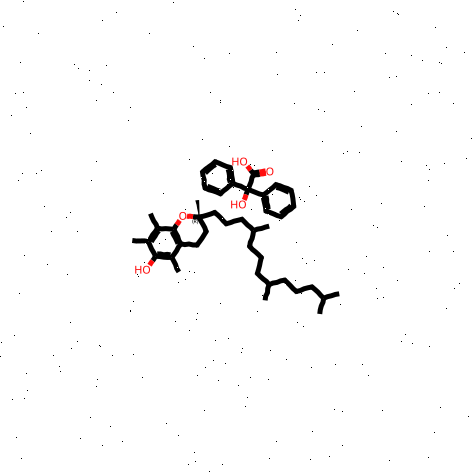 Cc1c(C)c2c(c(C)c1O)CC[C@@](C)(CCCC(C)CCCC(C)CCCC(C)C)O2.O=C(O)C(O)(c1ccccc1)c1ccccc1